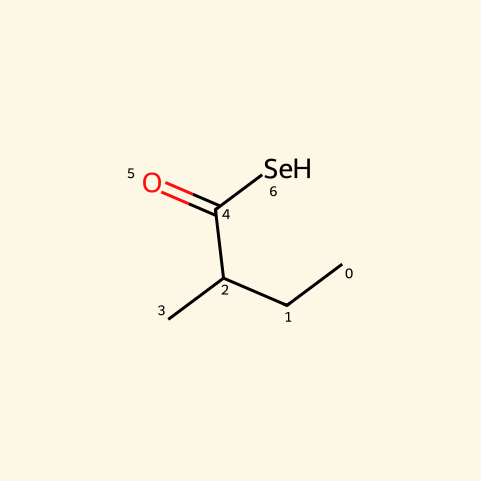 CCC(C)C(=O)[SeH]